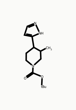 CC1CN(C(=O)OC(C)(C)C)CCC1c1ccn[nH]1